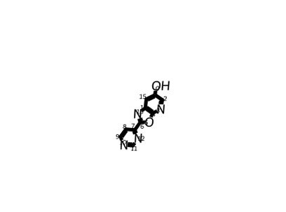 Oc1cnc2oc(-c3ccncn3)nc2c1